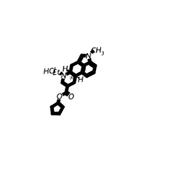 CCN1CC(C(=O)OC2CCCC2)C[C@@H]2c3cccc4c3c(cn4C)C[C@H]21.Cl